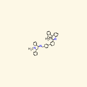 C=NC(C/C(=N\CC1C=CC(C2=CCCC(c3nc4ccccc4c(-c4ccccc4C)c3C)=C2)=CC1)C1=CC=CCC1)c1ccccc1